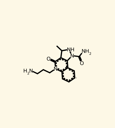 CC1NN(C(N)=O)c2c1c(=O)n(CCCN)c1cc[c]cc21